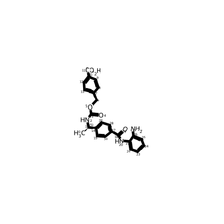 C[C@H](NC(=O)OCc1ccc(C(=O)O)cc1)c1ccc(C(=O)Nc2ccccc2N)cc1